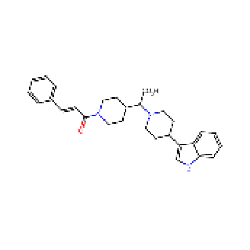 O=C(O)C(C1CCN(C(=O)C=Cc2ccccc2)CC1)N1CCC(c2c[nH]c3ccccc23)CC1